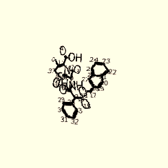 CC1=C(C(=O)O)N2C(=O)C(NC(=O)C(C(=O)OCc3ccc4ccccc4c3)c3ccccc3)[C@H]2[S+]([O-])C1